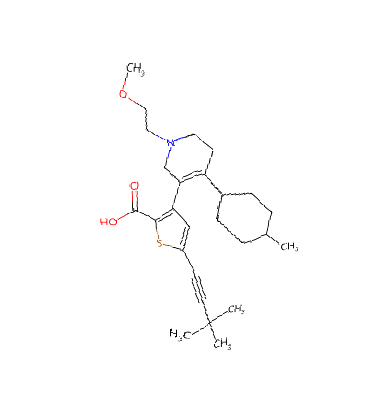 COCCN1CCC(C2CCC(C)CC2)=C(c2cc(C#CC(C)(C)C)sc2C(=O)O)C1